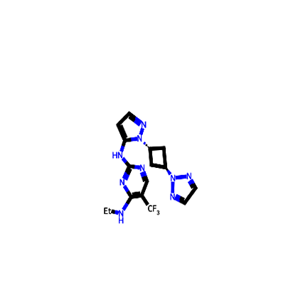 CCNc1nc(Nc2ccnn2[C@H]2C[C@H](n3nccn3)C2)ncc1C(F)(F)F